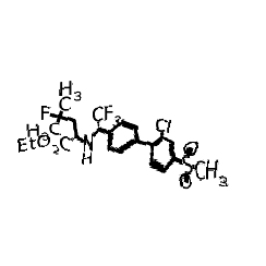 CCOC(=O)[C@H](CC(C)(C)F)N[C@@H](c1ccc(-c2ccc(S(C)(=O)=O)cc2Cl)cc1)C(F)(F)F